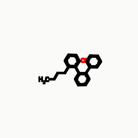 CCCCc1cccc(O)c1-c1ccccc1-c1ccccc1